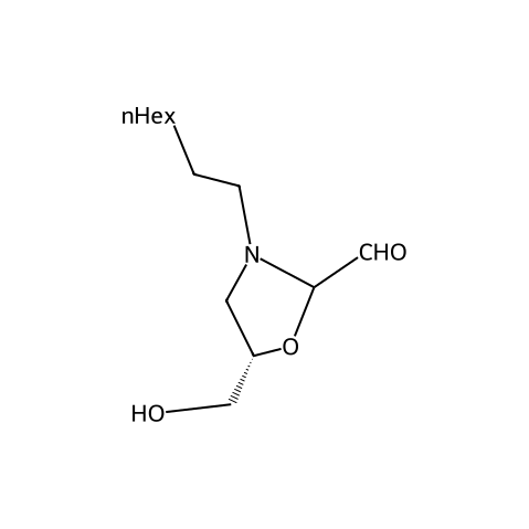 CCCCCCCCN1C[C@@H](CO)OC1C=O